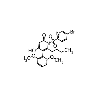 CCCCc1c(-c2c(OC)cccc2OC)c(O)cc(=O)n1S(=O)(=O)c1ccc(Br)cn1